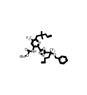 C=CCC[C@@](OCc1ccccc1)(c1nnc(-c2nc(CC(C)(C)CC=C)c(C(F)(F)F)cc2NC(=O)OC(C)(C)C)o1)C(F)(F)F